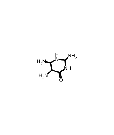 NC1NC(=O)C(N)C(N)N1